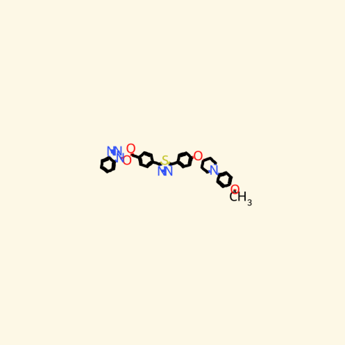 COc1ccc(N2CCC(Oc3ccc(-c4nnc(-c5ccc(C(=O)On6nnc7ccccc76)cc5)s4)cc3)CC2)cc1